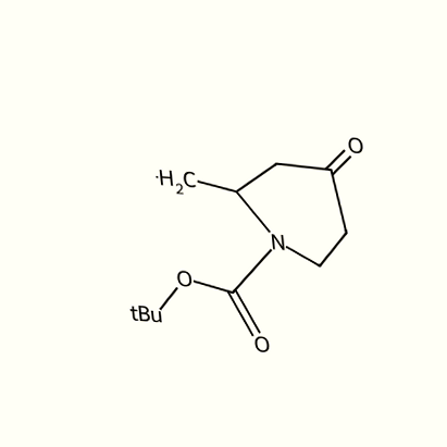 [CH2]C1CC(=O)CCN1C(=O)OC(C)(C)C